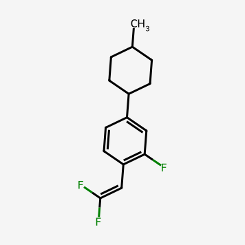 CC1CCC(c2ccc(C=C(F)F)c(F)c2)CC1